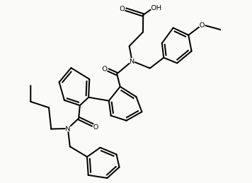 CCCCN(Cc1ccccc1)C(=O)c1ccccc1-c1ccccc1C(=O)N(CCC(=O)O)Cc1ccc(OC)cc1